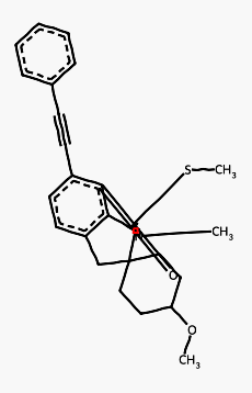 COC1CCC2(CC1)Cc1ccc(C#Cc3ccccc3)cc1C21N=C(SC)N(C)C1=O